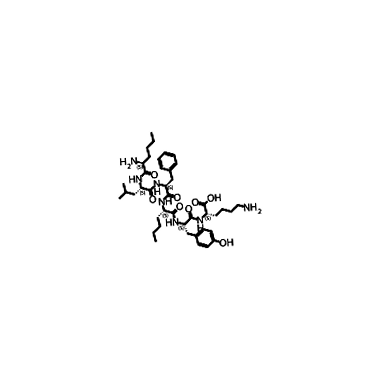 CCCC[C@H](NC(=O)[C@H](Cc1ccccc1)NC(=O)[C@H](CC(C)C)NC(=O)[C@@H](N)CCCC)C(=O)N[C@@H](Cc1ccc(O)cc1)C(=O)N[C@@H](CCCCN)C(=O)O